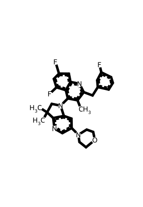 Cc1c(Cc2cccc(F)c2)nc2cc(F)cc(F)c2c1N1CC(C)(C)c2ncc(N3CCOCC3)cc21